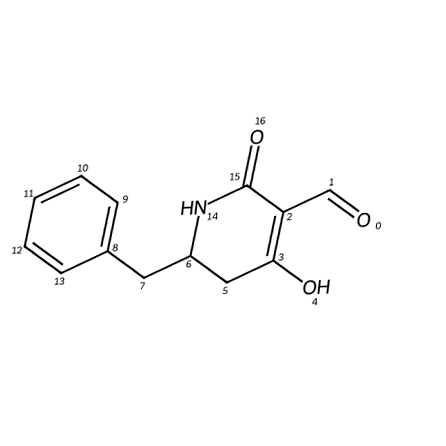 O=CC1=C(O)CC(Cc2ccccc2)NC1=O